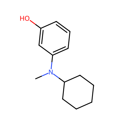 CN(c1cccc(O)c1)C1CCCCC1